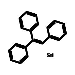 C(=C(c1ccccc1)c1ccccc1)c1ccccc1.[Sn]